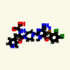 Cn1c(N2CCN(C(=O)C(Cc3ccncc3)NC(=O)O)CC2)nc(N)c(Sc2cccc(Cl)c2Cl)c1=O